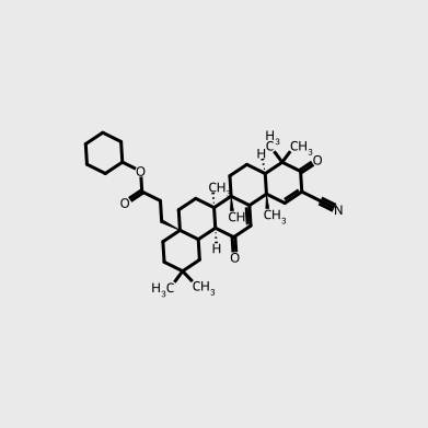 CC1(C)CC[C@]2(CCC(=O)OC3CCCCC3)CC[C@]3(C)[C@@H](C(=O)C=C4[C@@]5(C)C=C(C#N)C(=O)C(C)(C)[C@@H]5CC[C@]43C)C2C1